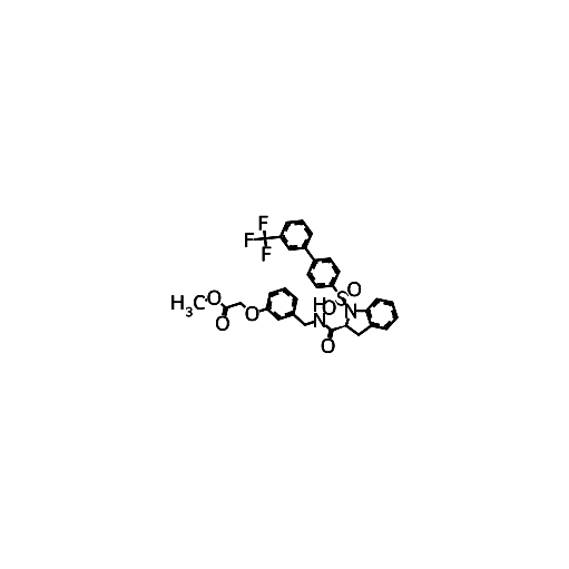 COC(=O)COc1cccc(CNC(=O)[C@@H]2Cc3ccccc3N2S(=O)(=O)c2ccc(-c3cccc(C(F)(F)F)c3)cc2)c1